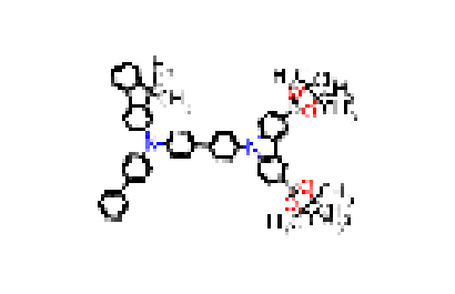 CC1(C)c2ccccc2-c2ccc(N(c3ccc(-c4ccccc4)cc3)c3ccc(-c4ccc(-n5c6ccc(B7OC(C)(C)C(C)(C)O7)cc6c6cc(B7OC(C)(C)C(C)(C)O7)ccc65)cc4)cc3)cc21